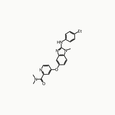 CCc1ccc(Nc2nc3cc(Oc4ccnc(C(=O)N(C)C)c4)ccc3n2C)cc1